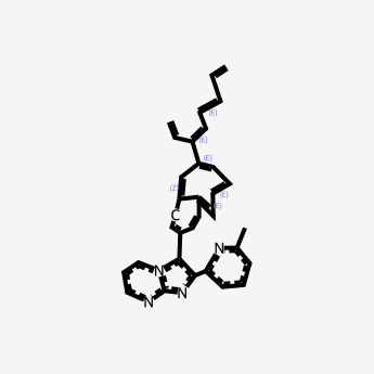 C=C/C=C/C=C(C=C)/C1=C/C=C/C=C2\C=CC(c3c(-c4cccc(C)n4)nc4ncccn34)=CC\C2=C\1